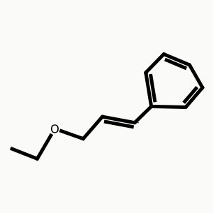 CCOC/C=[C]/c1ccccc1